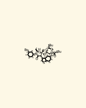 C=CN(C(=O)C(c1csc2ccc(Cl)cc12)P(=O)(O)OC(COC(=O)C(C)(C)C)OC(=O)C(C)(C)C)c1cccc(Br)c1